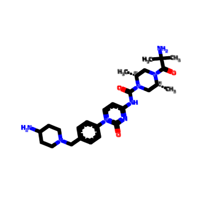 C[C@@H]1CN(C(=O)C(C)(C)N)[C@H](C)CN1C(=O)Nc1ccn(-c2ccc(CN3CCC(N)CC3)cc2)c(=O)n1